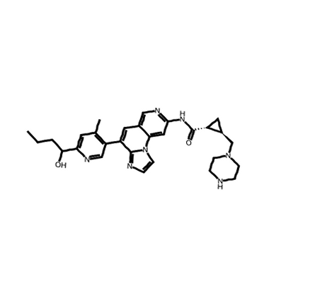 CCCC(O)c1cc(C)c(-c2cc3cnc(NC(=O)[C@@H]4C[C@H]4CN4CCNCC4)cc3n3ccnc23)cn1